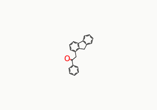 O=C(Cc1cccc2c1Cc1ccccc1-2)c1ccccc1